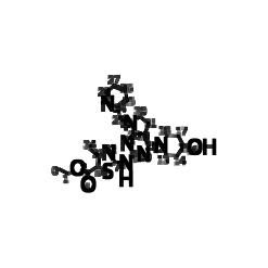 CCOC(=O)c1sc(Nc2nc(N3CCC(O)CC3)c3c(n2)N(Cc2ccccn2)CC3)nc1C